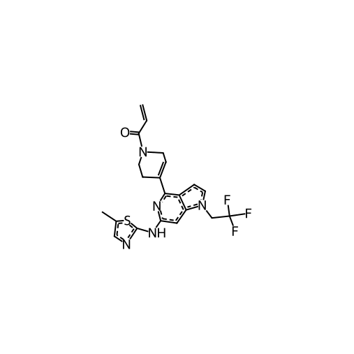 C=CC(=O)N1CC=C(c2nc(Nc3ncc(C)s3)cc3c2ccn3CC(F)(F)F)CC1